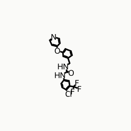 O=C(NCc1cccc(Oc2ccncc2)c1)Nc1ccc(Cl)c(C(F)(F)F)c1